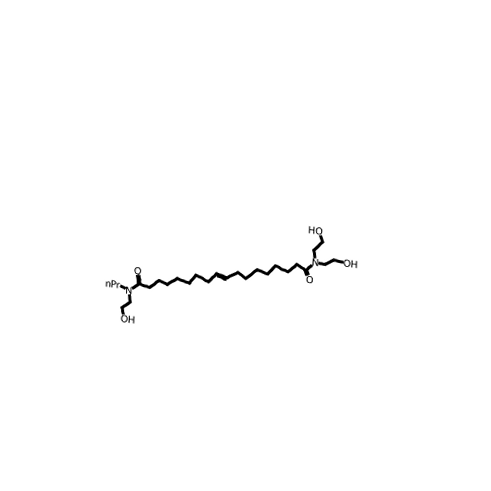 CCCN(CCO)C(=O)CCCCCCC/C=C/CCCCCCCC(=O)N(CCO)CCO